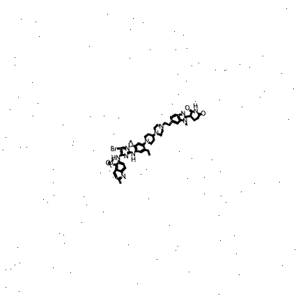 CCc1cc(Nc2ncc(Br)c(Nc3ccc4nc(C)ccc4c3P(C)(C)=O)n2)c(OC)cc1N1CCC(N2CCN(CCc3ccc4nc(C5CCC(=O)NC5=O)n(C)c4c3)CC2)CC1